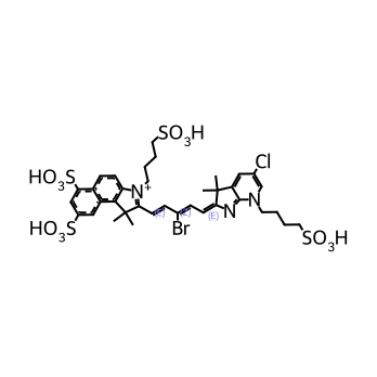 CC1(C)C2=CC(Cl)=CN(CCCCS(=O)(=O)O)C2=N/C1=C/C=C(Br)/C=C/C1=[N+](CCCCS(=O)(=O)O)c2ccc3c(S(=O)(=O)O)cc(S(=O)(=O)O)cc3c2C1(C)C